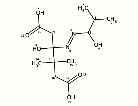 CC(C)C(O)N=NC(O)(CC(=O)O)C(C)(C)CC(=O)O